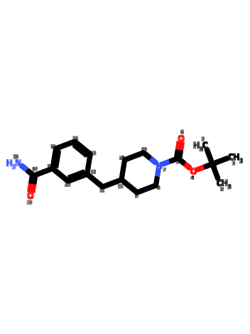 CC(C)(C)OC(=O)N1CCC(Cc2cccc(C(N)=O)c2)CC1